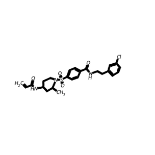 C=CC(=O)NC1CCN(S(=O)(=O)c2ccc(C(=O)NCCc3cccc(Cl)c3)cc2)C(C)C1